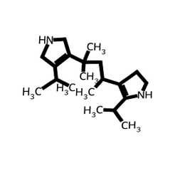 CC(C)C1=C(C(C)(C)CC(C)C2=C(C(C)C)NCC2)CNC1